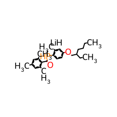 CCCCC(CC)COc1ccc(PC(=O)c2c(C)cc(C)cc2C)c(C)c1.[LiH]